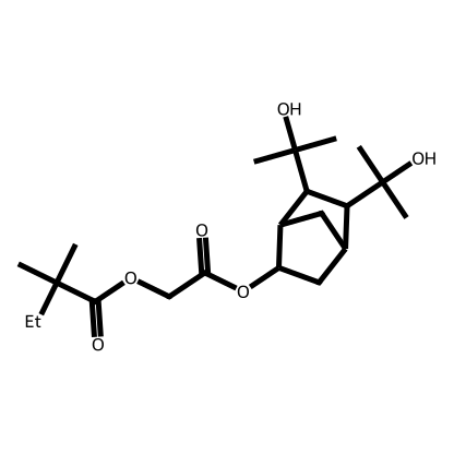 CCC(C)(C)C(=O)OCC(=O)OC1CC2CC1C(C(C)(C)O)C2C(C)(C)O